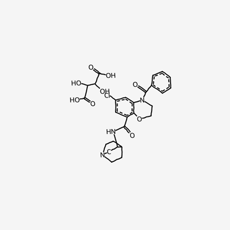 O=C(NC1CN2CCC1CC2)c1cc(Cl)cc2c1OCCN2C(=O)c1ccccc1.O=C(O)C(O)C(O)C(=O)O